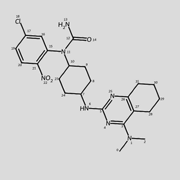 CN(C)c1nc(NC2CCC(N(C(N)=O)c3cc(Cl)ccc3[N+](=O)[O-])CC2)nc2c1CCCC2